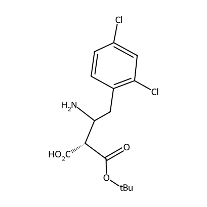 CC(C)(C)OC(=O)[C@H](C(=O)O)C(N)Cc1ccc(Cl)cc1Cl